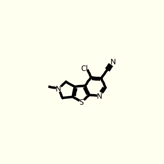 CN1Cc2sc3ncc(C#N)c(Cl)c3c2C1